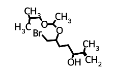 C=C(C)C(O)CCC(CBr)OC(C)OCC(C)C